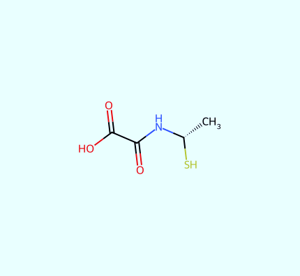 C[C@H](S)NC(=O)C(=O)O